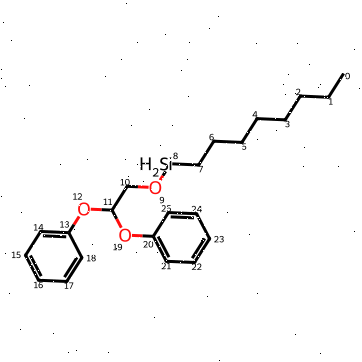 CCCCCCCC[SiH2]OCC(Oc1ccccc1)Oc1ccccc1